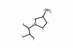 CC(C)C(C)N1CCC(N)C1